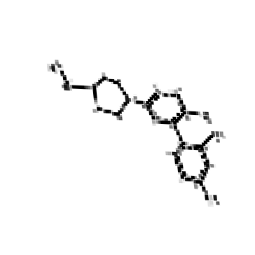 CNC1CCN(c2cc(-c3ncc(C)cc3C)c(Cl)cn2)CC1